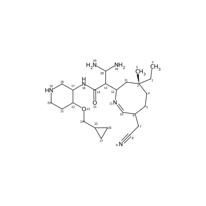 CC[C@]1(C)CCC(CC#N)/C=N\C(C(C(=O)NC2CNCCC2OCC2CC2)C(N)N)C1